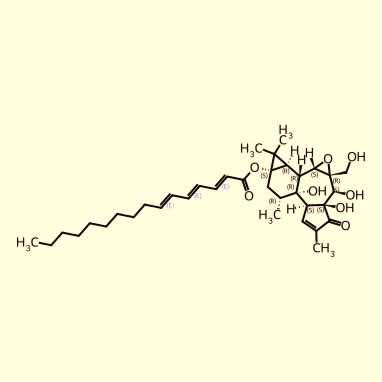 CCCCCCCCC/C=C/C=C/C=C/C(=O)O[C@@]12C[C@@H](C)[C@@]3(O)[C@H]([C@@H]1C2(C)C)[C@@H]1O[C@]1(CO)[C@@H](O)[C@]1(O)C(=O)C(C)=C[C@H]13